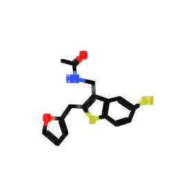 CC(=O)NCc1c(Cc2ccco2)sc2ccc(S)cc12